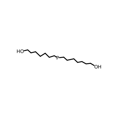 OCCCCCCC[P]CCCCCCCO